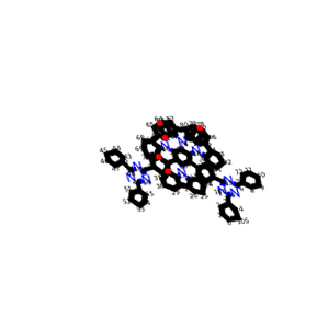 c1ccc(-c2nc(-c3ccccc3)nc(-c3ccc(-c4c(-n5c6ccccc6c6ccccc65)c(-c5ccc(-c6nc(-c7ccccc7)nc(-c7ccccc7)n6)cc5)c(-n5c6ccccc6c6ccccc65)c(-n5c6ccccc6c6ccccc65)c4-n4c5ccccc5c5ccccc54)cc3)n2)cc1